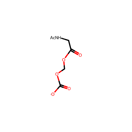 CC(=O)NCC(=O)OCOC([O])=O